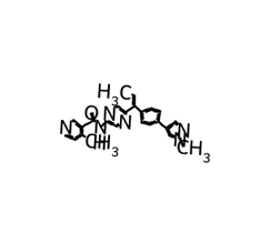 CC=C(c1ccc(-c2cnn(C)c2)cc1)c1cnc(NC(=O)c2cnccc2C)cn1